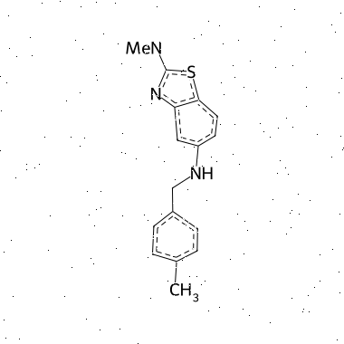 CNc1nc2cc(NCc3ccc(C)cc3)ccc2s1